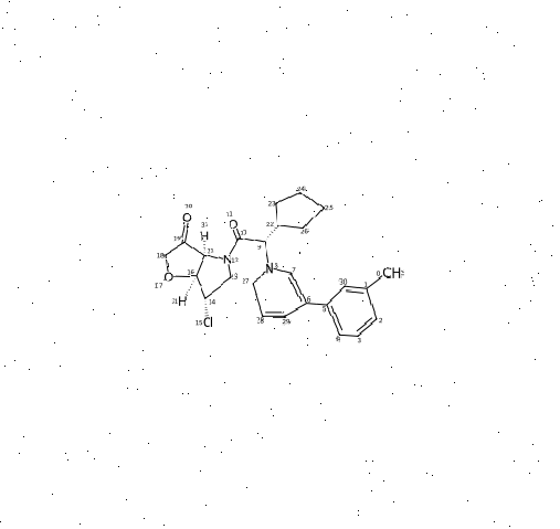 [CH]c1cccc(C2=CN([C@H](C(=O)N3C[C@H](Cl)[C@H]4OCC(=O)[C@H]43)C3CCCC3)CC=C2)c1